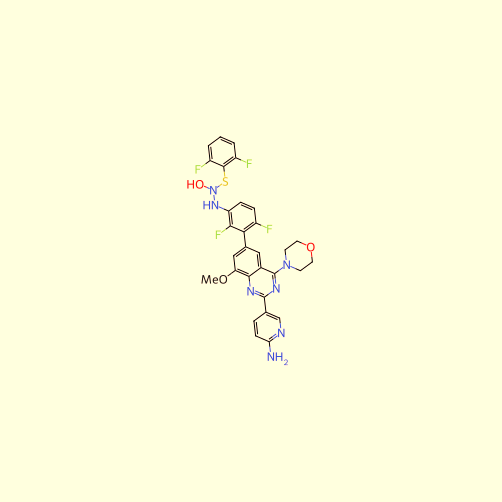 COc1cc(-c2c(F)ccc(NN(O)Sc3c(F)cccc3F)c2F)cc2c(N3CCOCC3)nc(-c3ccc(N)nc3)nc12